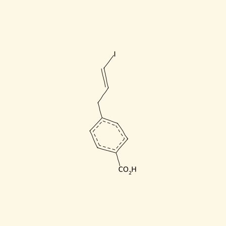 O=C(O)c1ccc(CC=CI)cc1